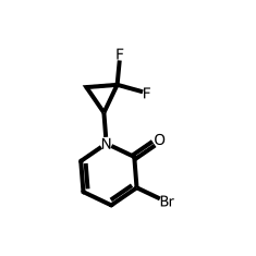 O=c1c(Br)cccn1C1CC1(F)F